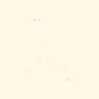 CCCCC=CC[Si](C)(OCC)OCC